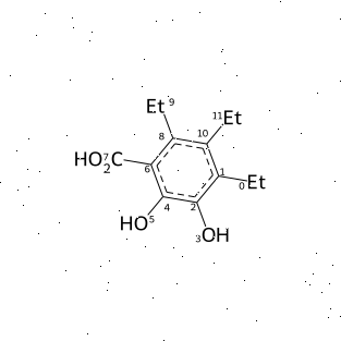 CCc1c(O)c(O)c(C(=O)O)c(CC)c1CC